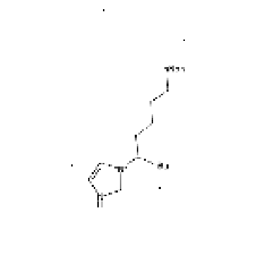 CCCCCCCCCCCCCC(C(C)CC)[n+]1cc[nH]c1